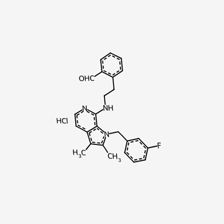 Cc1c(C)n(Cc2cccc(F)c2)c2c(NCCc3ccccc3C=O)nccc12.Cl